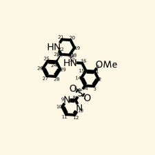 COc1ccc(S(=O)(=O)c2ncccn2)cc1CN[C@H]1CCCN[C@@H]1c1ccccc1